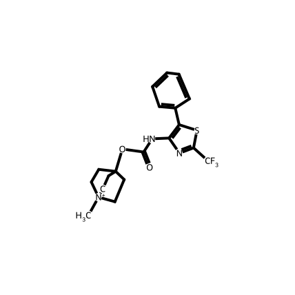 C[N+]12CCC(OC(=O)Nc3nc(C(F)(F)F)sc3-c3ccccc3)(CC1)CC2